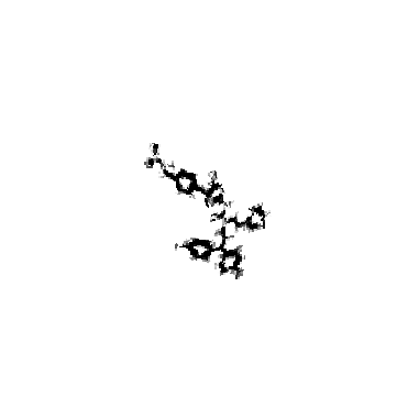 O=C(Nc1nc(-c2ccc(CN[SH](=O)=O)cc2)c(Cl)s1)N(CCc1cnccn1)CCC(c1ccc(F)cc1)c1ccc(F)cc1